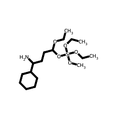 CCOC(CCC(N)C1CCCCC1)O[Si](OC)(OCC)OCC